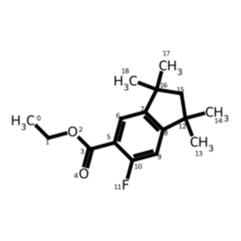 CCOC(=O)c1cc2c(cc1F)C(C)(C)CC2(C)C